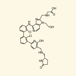 O=C(O)CNCc1nc2c(Nc3cccc(-c4cccc(-c5ccc(CNC[C@H]6CCC(=O)N6)c(O)n5)c4Cl)c3Cl)nccc2n1CCO